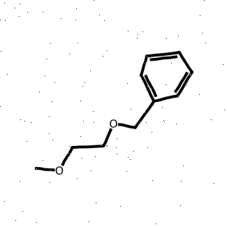 COC[CH]OCc1ccccc1